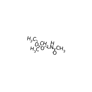 CCOC(C)(C)OCCNC(C)=O